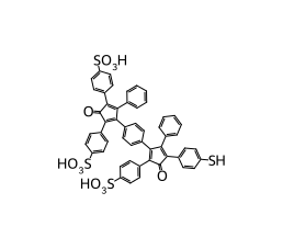 O=C1C(c2ccc(S)cc2)=C(c2ccccc2)C(c2ccc(C3=C(c4ccc(S(=O)(=O)O)cc4)C(=O)C(c4ccc(S(=O)(=O)O)cc4)=C3c3ccccc3)cc2)=C1c1ccc(S(=O)(=O)O)cc1